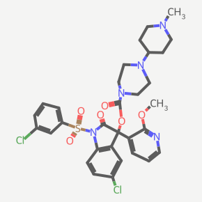 COc1ncccc1C1(OC(=O)N2CCN(C3CCN(C)CC3)CC2)C(=O)N(S(=O)(=O)c2cccc(Cl)c2)c2ccc(Cl)cc21